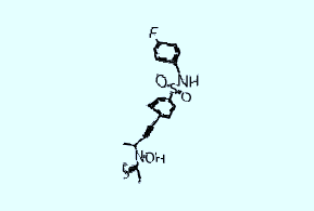 CC(=S)N(O)C(C)C#Cc1ccc(S(=O)(=O)Nc2ccc(F)cc2)cc1